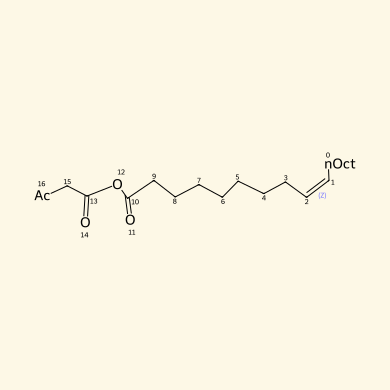 CCCCCCCC/C=C\CCCCCCCC(=O)OC(=O)CC(C)=O